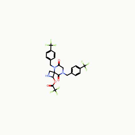 O=C1CN(Cc2ccc(C(F)(F)F)cc2)C(=O)C2(CNC2OC(=O)C(F)(F)F)N1Cc1ccc(C(F)(F)F)cc1